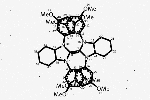 COc1cc(OC)cc(N2C(=C3N(c4cc(OC)cc(OC)c4)C4CCCCC4N3c3cc(OC)cc(OC)c3)N(c3cc(OC)cc(OC)c3)C3CCCCC32)c1